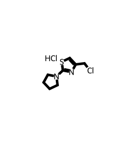 Cl.ClCc1csc(N2CCCC2)n1